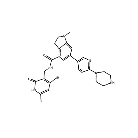 CCc1cc(C)[nH]c(=O)c1CNC(=O)c1cc(-c2ccc(N3CCNCC3)nc2)cc2c1CCN2C